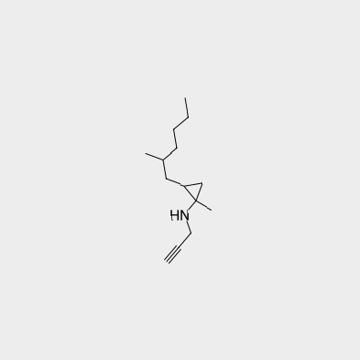 C#CCNC1(C)CC1CC(C)CCCC